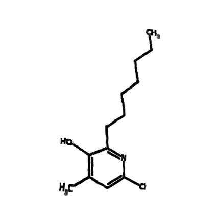 CCCCCCCc1nc(Cl)cc(C)c1O